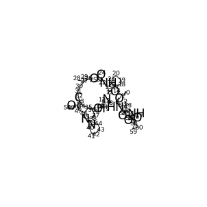 C=C[C@@H]1C[C@]1(NC(=O)[C@@H]1C[C@@H]2CN1C(=O)[C@H](C1CCCCC1)NC(=O)OCC(C)(C)CCCc1cc3c(cc(N4CCCCC4)nc3cc1OC)O2)C(=O)NS(=O)(=O)C1CC1